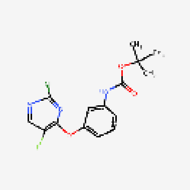 CC(C)(C)OC(=O)Nc1cccc(Oc2nc(Cl)ncc2F)c1